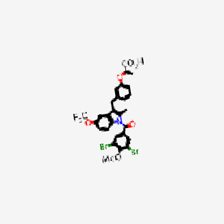 COc1c(Br)cc(C(=O)n2c(C)c(Cc3cccc(O[C@@H](C)C(=O)O)c3)c3cc(OC(F)(F)F)ccc32)cc1Br